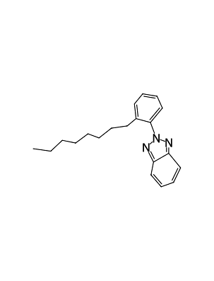 CCCCCCCCc1ccccc1-n1nc2ccccc2n1